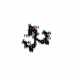 N#C[C@@H]1CC(F)(F)CN1C(=O)CNC(=O)c1ccncc1-c1ccc(OCCCN(CCCOc2ccc(-c3cnccc3C(=O)NCC(=O)N3CC(F)(F)C[C@H]3C#N)cc2)C(=O)CNC(=O)c2ccc(C(=O)O)c(-c3c4ccc(=O)cc-4oc4cc(O)ccc34)c2)cc1